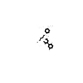 CNc1ccc(NC(=O)C(CCOC(C)(C)C)n2cc(OC)c(-c3cc(Cl)ccc3C(C)=O)cc2=O)cc1OC